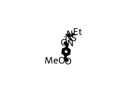 CCC1=N[N]C(=NC(=O)c2ccc(C(=O)OC)cc2)S1